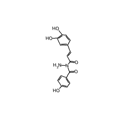 NN(C(=O)/C=C/c1ccc(O)c(O)c1)C(=O)c1ccc(O)cc1